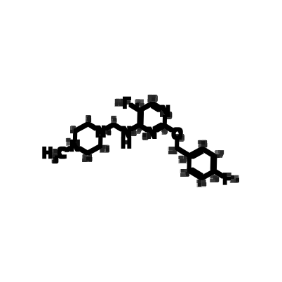 CN1CCN(CNc2nc(OCc3ccc(F)cc3)ncc2F)CC1